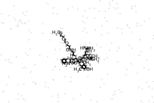 COCCOCCOCCC(=O)NCCCC[C@H](NC(=O)[C@H](Cc1c(C)cc(O)cc1C)NC(=O)[C@@H](CCCNC(=N)N)NC(=O)OC(C)(C)C)C(=O)N[C@@H](Cc1ccccc1)C(N)=O